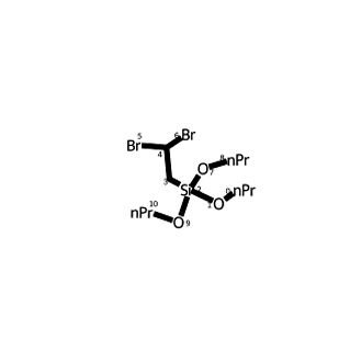 CCCO[Si](CC(Br)Br)(OCCC)OCCC